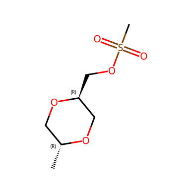 C[C@@H]1CO[C@@H](COS(C)(=O)=O)CO1